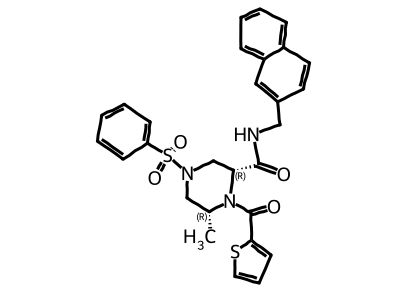 C[C@@H]1CN(S(=O)(=O)c2ccccc2)C[C@H](C(=O)NCc2ccc3ccccc3c2)N1C(=O)c1cccs1